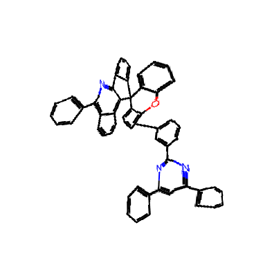 c1ccc(-c2cc(-c3ccccc3)nc(-c3cccc(-c4cccc5c4Oc4ccccc4C54c5ccccc5-c5nc(-c6ccccc6)c6ccccc6c54)c3)n2)cc1